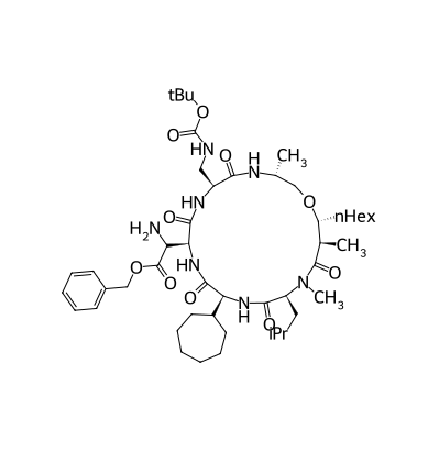 CCCCCC[C@H]1OC[C@@H](C)NC(=O)[C@H](CNC(=O)OC(C)(C)C)NC(=O)[C@H](C(N)C(=O)OCc2ccccc2)NC(=O)[C@H](C2CCCCCC2)NC(=O)[C@H](CC(C)C)N(C)C(=O)[C@@H]1C